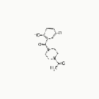 CC(=O)N1CCN(C(=O)c2cc(Cl)ccc2O)CC1